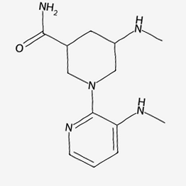 CNc1cccnc1N1CC(NC)CC(C(N)=O)C1